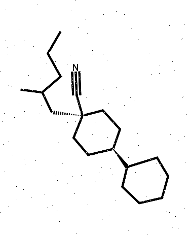 CCCC(C)C[C@]1(C#N)CC[C@@H](C2CCCCC2)CC1